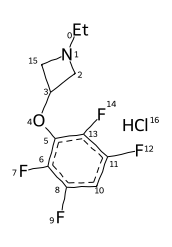 CCN1CC(Oc2c(F)c(F)cc(F)c2F)C1.Cl